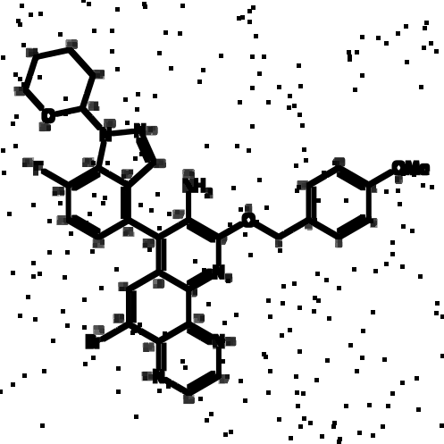 COc1ccc(COc2nc3c(cc(Br)c4nccnc43)c(-c3ccc(F)c4c3cnn4C3CCCCO3)c2N)cc1